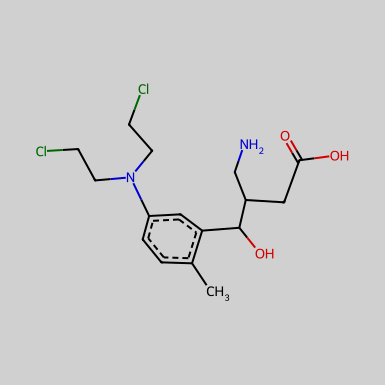 Cc1ccc(N(CCCl)CCCl)cc1C(O)C(CN)CC(=O)O